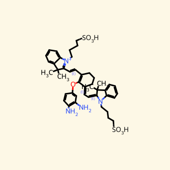 CC1(C)C(/C=C/C2=C(Oc3ccc(N)c(N)c3)C(=C/C=C3/N(CCCCS(=O)(=O)O)c4ccccc4C3(C)C)/CCC2)=[N+](CCCCS(=O)(=O)O)c2ccccc21